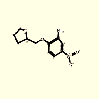 Nc1cc([N+](=O)[O-])ccc1OCC1CCCO1